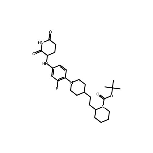 CC(C)(C)OC(=O)N1CCCCC1CCC1CCN(c2ccc(NC3CCC(=O)NC3=O)cc2F)CC1